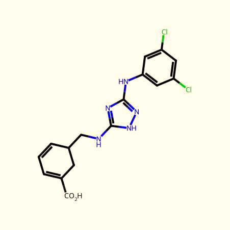 O=C(O)C1=CC=CC(CNc2nc(Nc3cc(Cl)cc(Cl)c3)n[nH]2)C1